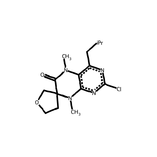 CC(C)Cc1nc(Cl)nc2c1N(C)C(=O)C1(CCOC1)N2C